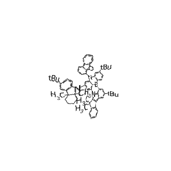 CC(C)(C)c1ccc2c(c1)N(c1cccc3c1oc1ccccc13)c1cc(N3c4ccc(C(C)(C)C)cc4C4(C)CCCCC34C)cc3c1B2c1cc(C(C)(C)C)cc2c4c(n-3c12)C(C)(C)c1ccccc1-4